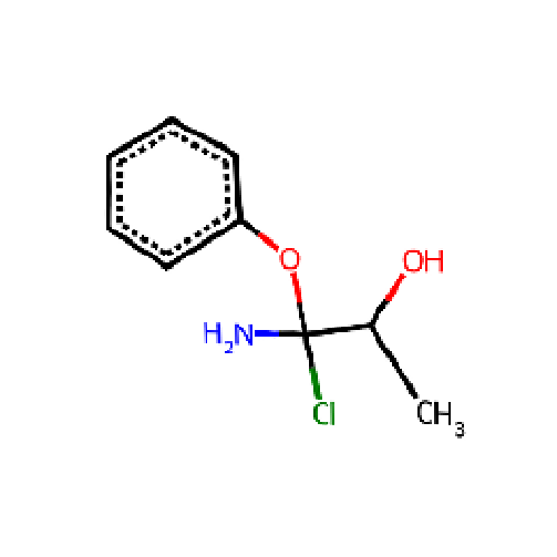 CC(O)C(N)(Cl)Oc1ccccc1